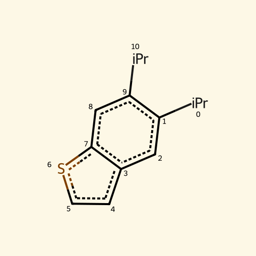 CC(C)c1cc2ccsc2cc1C(C)C